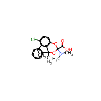 CCc1c(Cl)ccc2c1C(C)(c1ccccc1)OC(C(=O)O)(N(C)C)O2